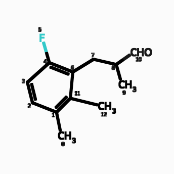 Cc1ccc(F)c(CC(C)C=O)c1C